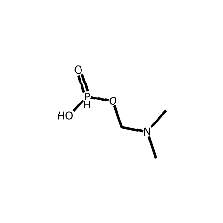 CN(C)CO[PH](=O)O